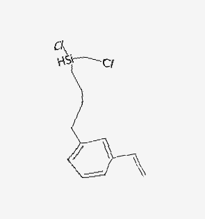 C=Cc1cccc(CCC[SiH](Cl)Cl)c1